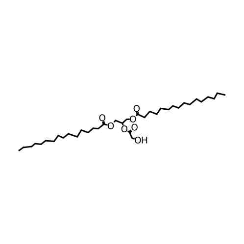 CCCCCCCCCCCCCCCC(=O)OCC(COC(=O)CCCCCCCCCCCCCCC)OC(=O)CO